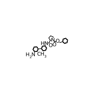 Cc1c(N)cccc1-c1cccc(NC(=O)C2CCCN2C(=O)OCc2ccccc2)c1